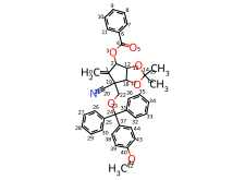 C=C1C(OC(=O)c2ccccc2)C2OC(C)(C)OC2C1(C#N)COC(c1ccccc1)(c1ccccc1)c1ccc(OC)cc1